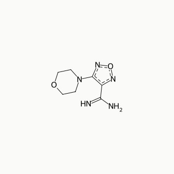 N=C(N)c1nonc1N1CCOCC1